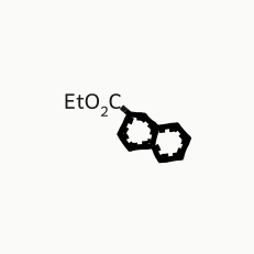 CCOC(=O)c1ccc2ccccc2c1